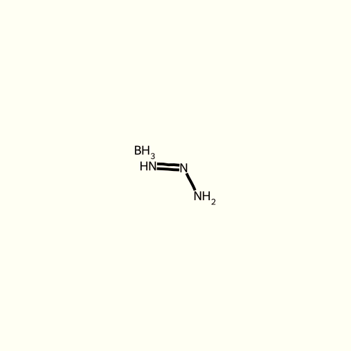 B.N=NN